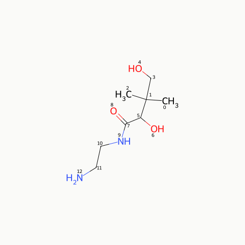 CC(C)(CO)C(O)C(=O)NCCN